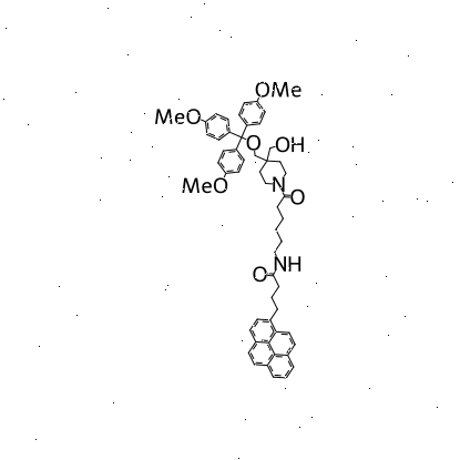 COc1ccc(C(OCC2(CO)CCN(C(=O)CCCCCNC(=O)CCCc3ccc4ccc5cccc6ccc3c4c56)CC2)(c2ccc(OC)cc2)c2ccc(OC)cc2)cc1